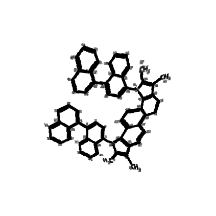 Cc1c(C)n(-c2ccc(-c3cccc4ccccc34)c3ccccc23)c2c1ccc1c3ccc4c(C)c(C)n(-c5ccc(-c6cccc7ccccc67)c6ccccc56)c4c3ccc12